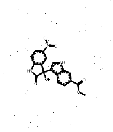 COC(=O)c1ccc2c(C3(O)C(=O)Nc4ccc([N+](=O)[O-])cc43)c[nH]c2c1